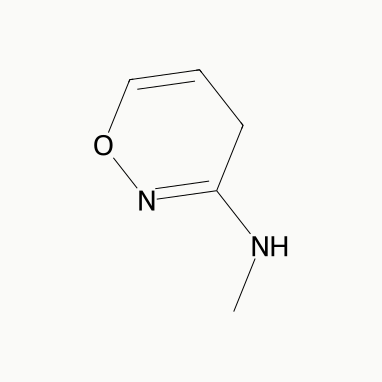 CNC1=NOC=CC1